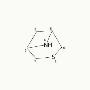 C1SCC2CC1N2